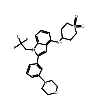 O=S1(=O)CCC(Nc2cccc3c2cc(-c2cccc(N4CCOCC4)c2)n3CC(F)(F)F)CC1